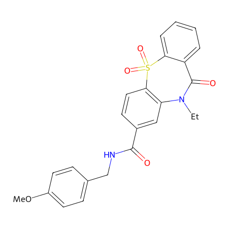 CCN1C(=O)c2ccccc2S(=O)(=O)c2ccc(C(=O)NCc3ccc(OC)cc3)cc21